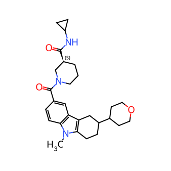 Cn1c2c(c3cc(C(=O)N4CCC[C@H](C(=O)NC5CC5)C4)ccc31)CC(C1CCOCC1)CC2